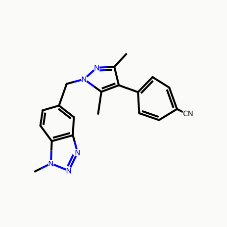 Cc1nn(Cc2ccc3c(c2)nnn3C)c(C)c1-c1ccc(C#N)cc1